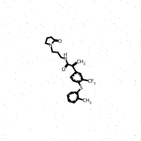 C=C(C(=O)NCCCN1CCCC1=O)c1ccc(Sc2ccccc2C)c(C(F)(F)F)c1